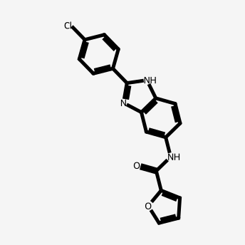 O=C(Nc1ccc2[nH]c(-c3ccc(Cl)cc3)nc2c1)c1ccco1